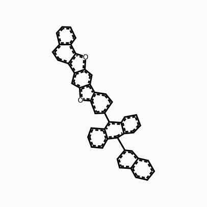 c1ccc2cc(-c3c4ccccc4c(-c4ccc5c(c4)oc4cc6c(cc45)oc4c5ccccc5ccc64)c4ccccc34)ccc2c1